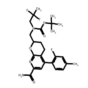 Cc1ccc(-c2cc(C(N)=O)nc3c2CCC(CN(CC(C)(F)F)C(=O)OC(C)(C)C)O3)c(F)c1